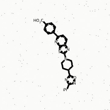 CC(C)c1noc(C2CCN(c3nc4ccc(-c5ccc(C(=O)O)cc5)nc4s3)CC2)n1